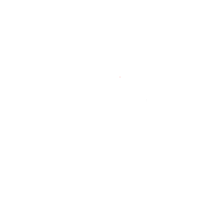 CCC=COCC(C)O